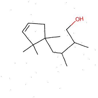 CC(CO)C(C)CC1(C)CC=CC1(C)C